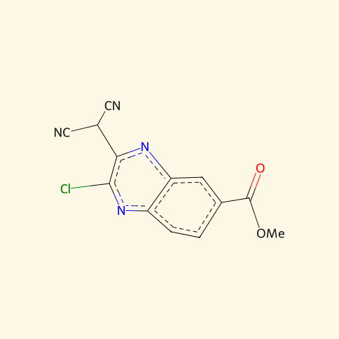 COC(=O)c1ccc2nc(Cl)c(C(C#N)C#N)nc2c1